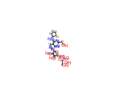 O=P(O)(O)C(CO)OC[C@H]1O[C@@H](n2ncc3c(NC4CCCC4)nc(CO)nc32)[C@H](O)[C@@H]1O